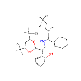 CCC(C)(C)CCC(C)C(NCC(C1=CC=CCC1O)C1OC(C(C)(C)CC)CC(C(C)(C)CC)O1)C1CCCCC1